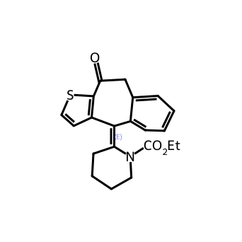 CCOC(=O)N1CCCC/C1=C1/c2ccccc2CC(=O)c2sccc21